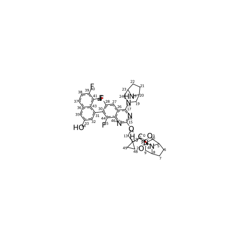 CS(=O)(=O)N1C2CCC1CN(CC1(COc3nc(N4CC5CCC(C4)N5)c4cc(F)c(-c5cc(O)cc6ccc(F)c(F)c56)c(F)c4n3)CC1)C2